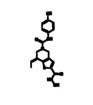 C/C=C1/CN(C(=O)Nc2ccc(C#N)cc2)Cc2cc(C(=O)NO)sc21